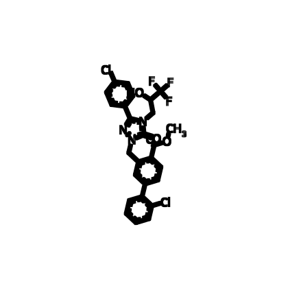 COC(=O)c1ccc(-c2ccccc2Cl)cc1Cn1nc(-c2ccc(Cl)cc2)n(CC(O)C(F)(F)F)c1=O